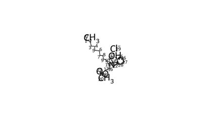 CCCCCCCCCCCC[N+](CCO)(CCOC(C)=O)Cc1ccccc1.[Cl-]